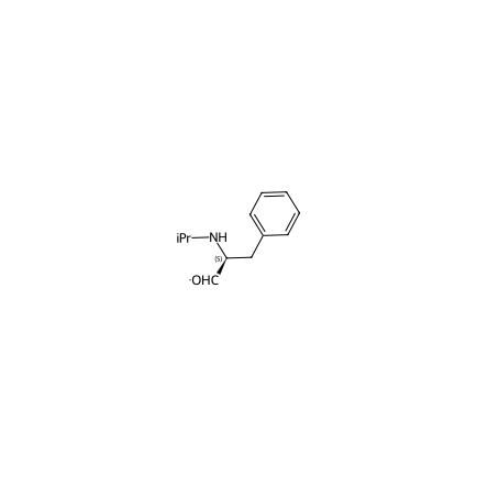 CC(C)N[C@H]([C]=O)Cc1ccccc1